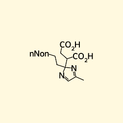 CCCCCCCCCCCC1(C(CC(=O)O)C(=O)O)N=CC(C)=N1